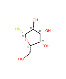 OC[C@@H]1O[C@H](S)[C@@H](O)[C@H](O)[C@@H]1O